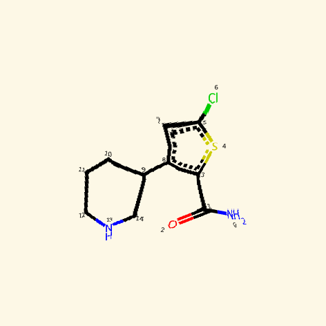 NC(=O)c1sc(Cl)cc1C1CCCNC1